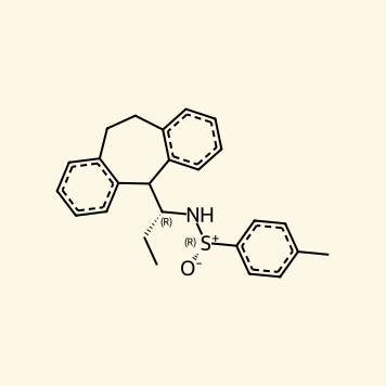 CC[C@@H](N[S@@+]([O-])c1ccc(C)cc1)C1c2ccccc2CCc2ccccc21